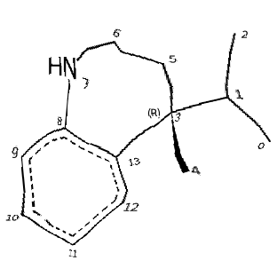 CC(C)[C@@]1(C)CCNc2ccccc21